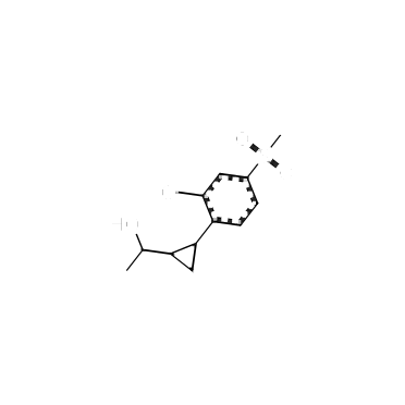 [CH2]C(O)C1CC1c1ccc(S(C)(=O)=O)cc1Cl